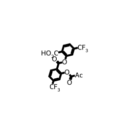 CC(=O)C(=O)Oc1cc(C(F)(F)F)ccc1C(=O)Oc1cc(C(F)(F)F)ccc1C(=O)O